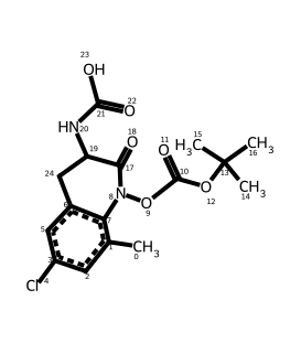 Cc1cc(Cl)cc2c1N(OC(=O)OC(C)(C)C)C(=O)C(NC(=O)O)C2